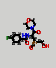 O=C(N[C@H](C(=O)N1CCOCC1)[C@@H]1C(CO)[S+]1[O-])c1ccc(F)cc1